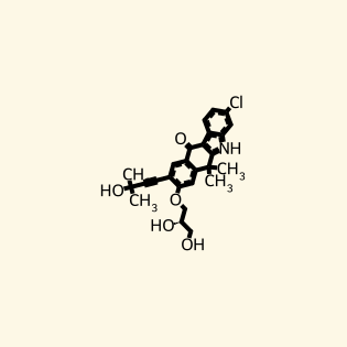 CC(C)(O)C#Cc1cc2c(cc1OC[C@@H](O)CO)C(C)(C)c1[nH]c3cc(Cl)ccc3c1C2=O